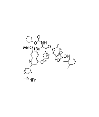 C=C[C@@H]1C[C@]1(NC(=O)[C@@H]1C[C@@H](Oc2cc(-c3csc(NC(C)C)n3)nc3cc(OC)ccc23)CN1C(=O)C(NC(=O)OC1CCCC1)C(C)(C)C)P(=O)(O)Cc1c(C)cccc1C